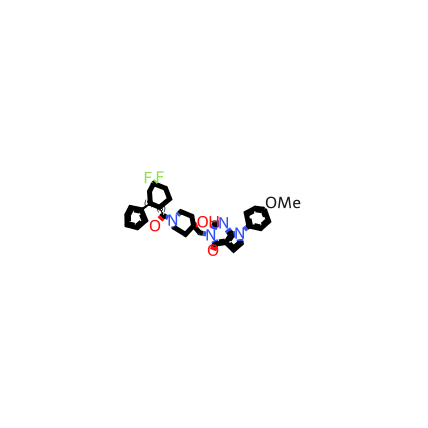 COc1ccc(-n2ccc3c(=O)n(CC4(O)CCN(C(=O)[C@H]5CCC(F)(F)C[C@@H]5c5ccccc5)CC4)cnc32)cc1